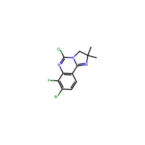 CC1(C)CN2C(Cl)=Nc3c(ccc(Br)c3F)C2=N1